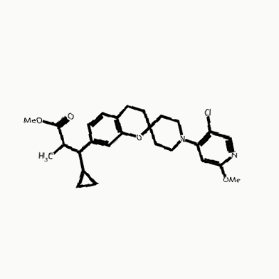 COC(=O)C(C)C(c1ccc2c(c1)OC1(CC2)CCN(c2cc(OC)ncc2Cl)CC1)C1CC1